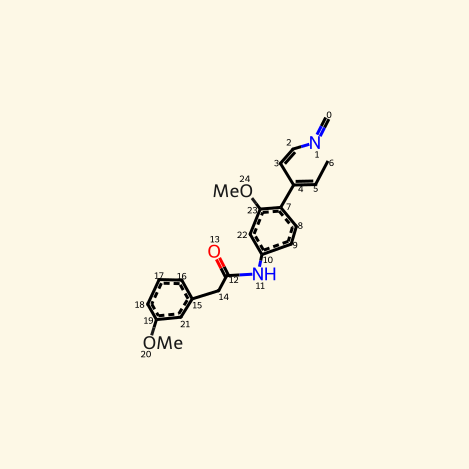 C=N/C=C\C(=C/C)c1ccc(NC(=O)Cc2cccc(OC)c2)cc1OC